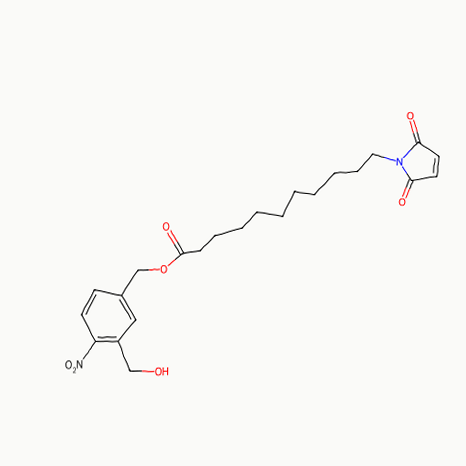 O=C(CCCCCCCCCCN1C(=O)C=CC1=O)OCc1ccc([N+](=O)[O-])c(CO)c1